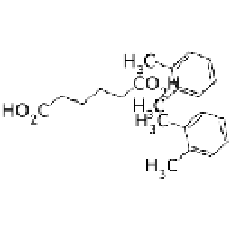 Cc1ccccc1C.Cc1ccccc1C.O=C(O)CCCCC(=O)O